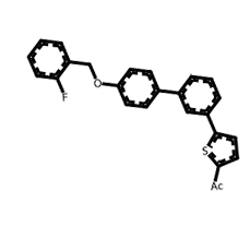 CC(=O)c1ccc(-c2cc[c]c(-c3ccc(OCc4ccccc4F)cc3)c2)s1